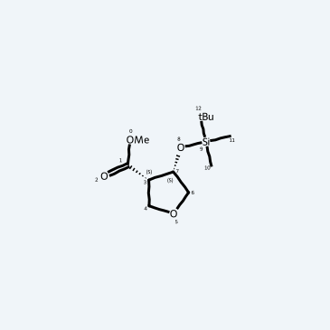 COC(=O)[C@H]1COC[C@H]1O[Si](C)(C)C(C)(C)C